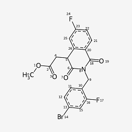 COC(=O)CC1C(=O)N(Cc2ccc(Br)cc2F)C(=O)c2ccc(F)cc21